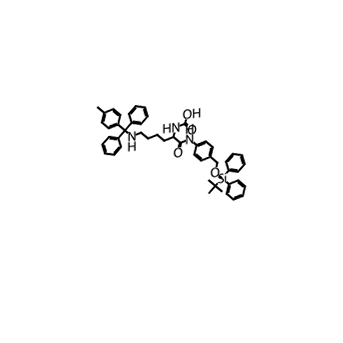 Cc1ccc(C(NCCCCC(NC(=O)O)C(=O)Nc2ccc(CO[Si](c3ccccc3)(c3ccccc3)C(C)(C)C)cc2)(c2ccccc2)c2ccccc2)cc1